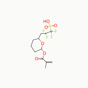 C=C(C)C(=O)OC1CCCC(CC(F)(F)C(F)(F)S(=O)(=O)O)O1